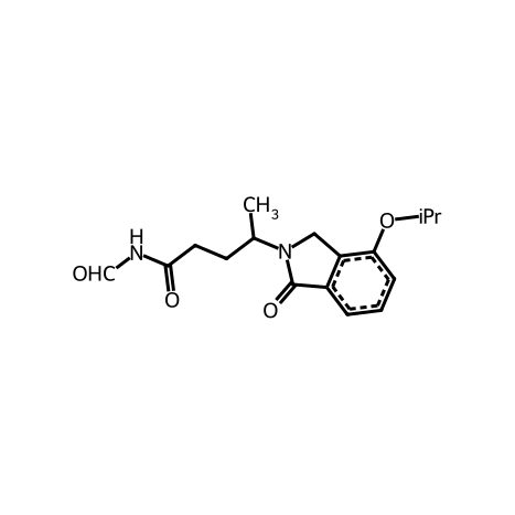 CC(C)Oc1cccc2c1CN(C(C)CCC(=O)NC=O)C2=O